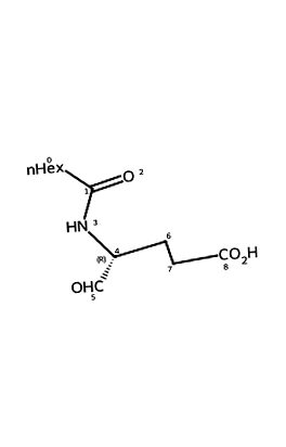 CCCCCCC(=O)N[C@@H](C=O)CCC(=O)O